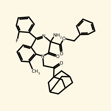 Cc1cccc2c1N(CC(=O)C13CC4CC(CC(C4)C1)C3)C(=O)C(N)(C(=O)OCc1ccccc1)N=C2c1ccccc1F